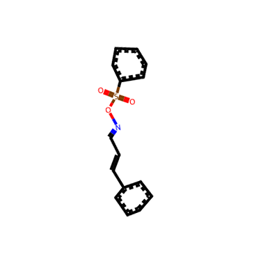 O=S(=O)(ON=CC=Cc1ccccc1)c1ccccc1